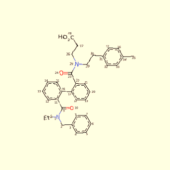 CCN(Cc1ccccc1)C(=O)c1ccccc1-c1ccccc1C(=O)N(CCC(=O)O)CCc1ccc(C)cc1